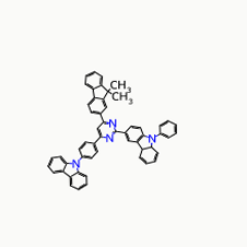 CC1(C)c2ccccc2-c2ccc(-c3cc(-c4ccc(-n5c6ccccc6c6ccccc65)cc4)nc(-c4ccc5c(c4)C4C=CC=CC4N5c4ccccc4)n3)cc21